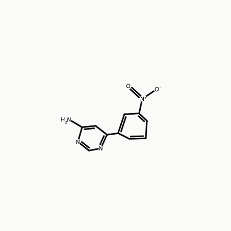 Nc1cc(-c2cccc([N+](=O)[O-])c2)ncn1